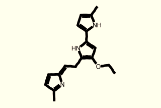 CCOc1cc(-c2ccc(C)[nH]2)[nH]c1C/C=C1/C=CC(C)=N1